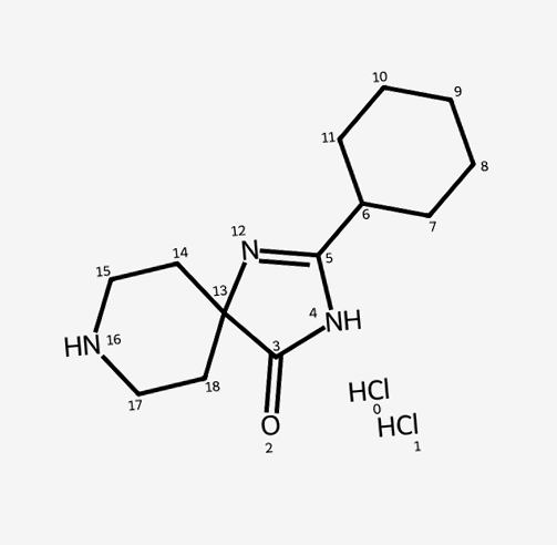 Cl.Cl.O=C1NC(C2CCCCC2)=NC12CCNCC2